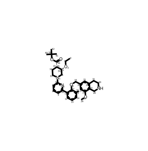 CCO[C@@H]1CN(c2cccc(-c3cccc(C)c3OCc3cc4c(c(OC)c3)CNCC4)n2)CC[C@@H]1C(=O)OC(C)(C)C